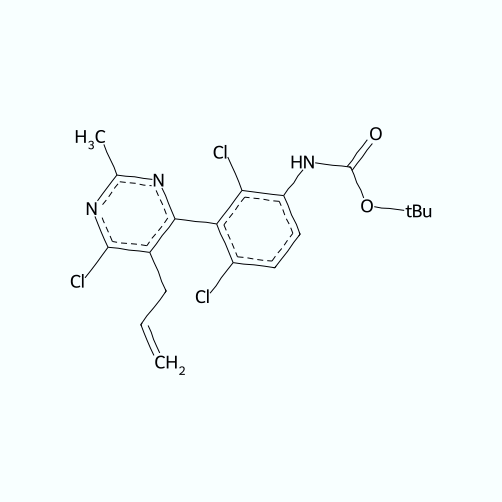 C=CCc1c(Cl)nc(C)nc1-c1c(Cl)ccc(NC(=O)OC(C)(C)C)c1Cl